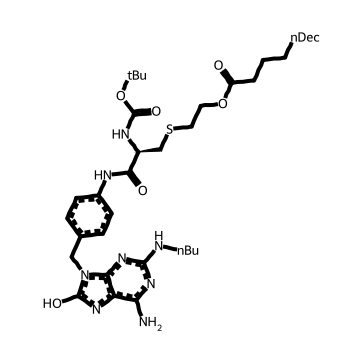 CCCCCCCCCCCCCC(=O)OCCSC[C@H](NC(=O)OC(C)(C)C)C(=O)Nc1ccc(Cn2c(O)nc3c(N)nc(NCCCC)nc32)cc1